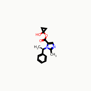 Cc1ncc(C(=O)OC2(O)CC2)n1[C@H](C)c1ccccc1